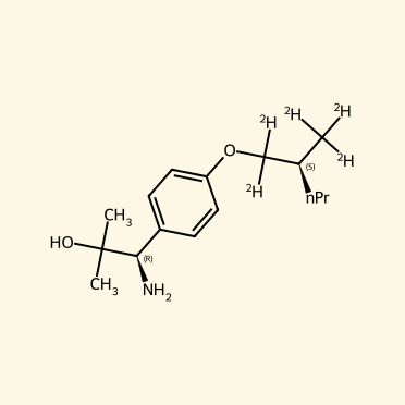 [2H]C([2H])([2H])[C@@H](CCC)C([2H])([2H])Oc1ccc([C@@H](N)C(C)(C)O)cc1